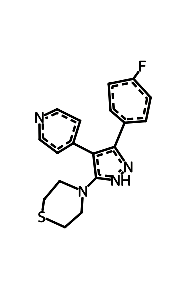 Fc1ccc(-c2n[nH]c(N3CCSCC3)c2-c2ccncc2)cc1